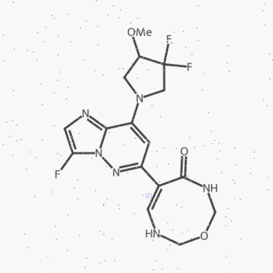 COC1CN(c2cc(/C3=C/NCOCNC3=O)nn3c(F)cnc23)CC1(F)F